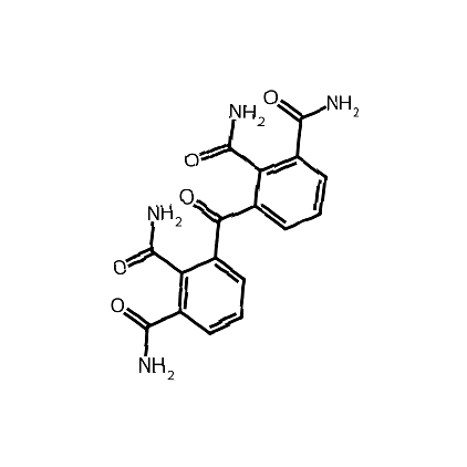 NC(=O)c1cccc(C(=O)c2cccc(C(N)=O)c2C(N)=O)c1C(N)=O